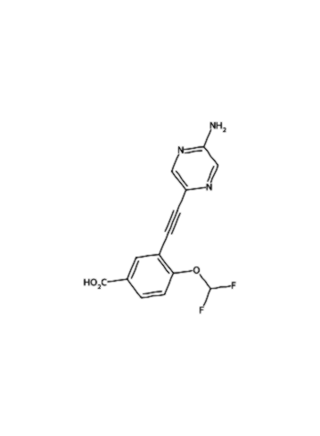 Nc1cnc(C#Cc2cc(C(=O)O)ccc2OC(F)F)cn1